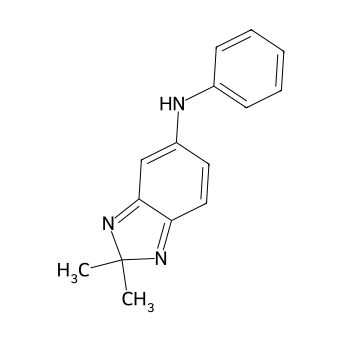 CC1(C)N=c2ccc(Nc3ccccc3)cc2=N1